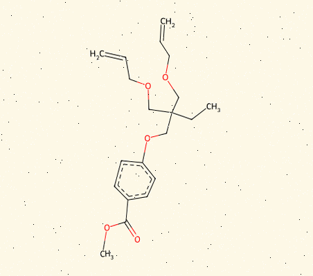 C=CCOCC(CC)(COCC=C)COc1ccc(C(=O)OC)cc1